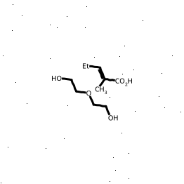 CCC=C(C)C(=O)O.OCCOCCO